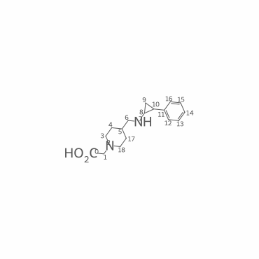 O=C(O)CN1CCC(CNC2CC2c2ccccc2)CC1